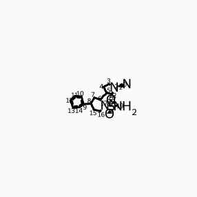 N#CN1CCC(C2CC(c3ccccc3)CCN2S(N)(=O)=O)C1